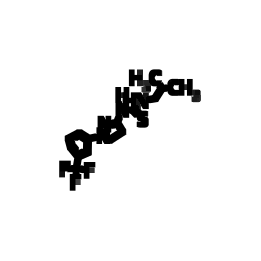 CC(C)CNC(=S)NC1=NN(c2cccc(C(F)(F)F)c2)CC1